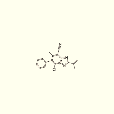 C=C(C)c1nc2c(C#N)c(C)c(-c3ccccc3)c(Cl)n2n1